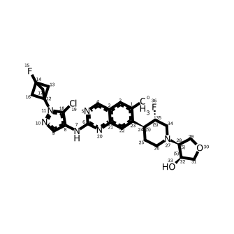 Cc1cc2cnc(Nc3cnn(C45CC(F)(C4)C5)c3Cl)nc2cc1[C@@H]1CCN([C@H]2COC[C@H]2O)C[C@H]1F